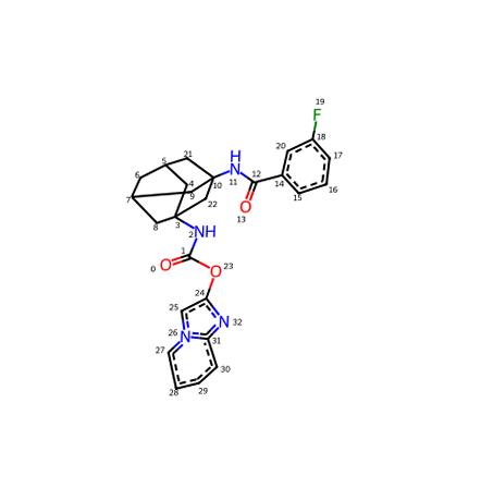 O=C(NC12CC3CC(C1)CC(NC(=O)c1cccc(F)c1)(C3)C2)Oc1cn2ccccc2n1